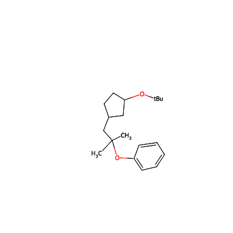 CC(C)(C)OC1CCC(CC(C)(C)Oc2ccccc2)C1